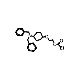 CCC(=O)OCCOC1CCC(N(Cc2ccccc2)Cc2ccccc2)CC1